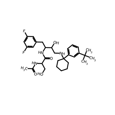 CC(=O)NC(CO)C(=O)NC(Cc1cc(F)cc(F)c1)C(O)CNC1(c2cccc(C(C)(C)C)c2)CCCCC1